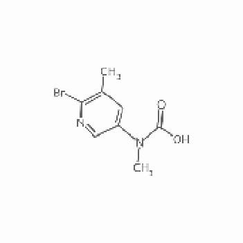 Cc1cc(N(C)C(=O)O)cnc1Br